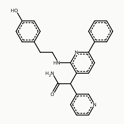 NC(=O)C(c1cccnc1)c1ccc(-c2ccccc2)nc1NCCc1ccc(O)cc1